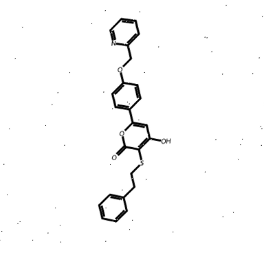 O=c1oc(-c2ccc(OCc3ccccn3)cc2)cc(O)c1SCCc1ccccc1